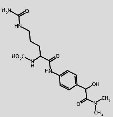 CN(C)C(=O)C(O)c1ccc(NC(=O)C(CCCNC(N)=O)NC(=O)O)cc1